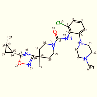 CC(C)N1CCN(c2cccc(Cl)c2NC(=O)N2CCC(C)(c3noc([C@@H]4C[C@@H]4C)n3)CC2)CC1